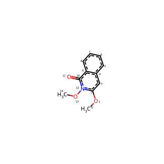 COc1cc2ccccc2c(=O)n1OC